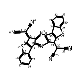 N#CC(C#N)=C1c2nc3c(nc2-c2c1sc1ccccc21)C(C(C#N)C#N)c1sc2ccccc2c1-3